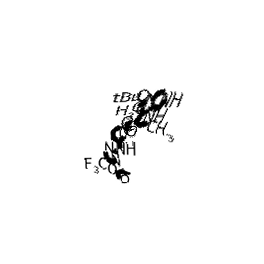 CC1=CC(S(=O)(=O)N2CCCC(Nc3ncc(C(F)(F)F)c(O[C@H]4CCOC4)n3)C2)=CC(C)([C@@H]2CNCCN2C(=O)OC(C)(C)C)N1